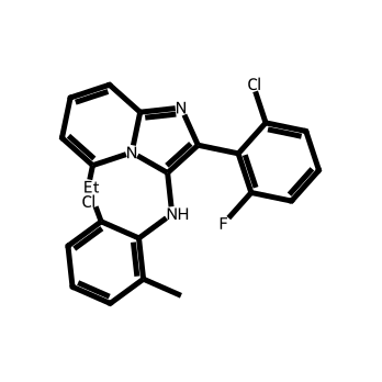 CCc1cccc2nc(-c3c(F)cccc3Cl)c(Nc3c(C)cccc3Cl)n12